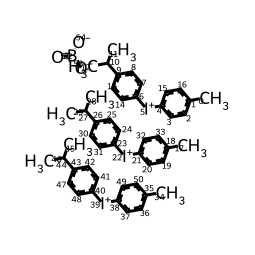 Cc1ccc([I+]c2ccc(C(C)C)cc2)cc1.Cc1ccc([I+]c2ccc(C(C)C)cc2)cc1.Cc1ccc([I+]c2ccc(C(C)C)cc2)cc1.[O-]B([O-])[O-]